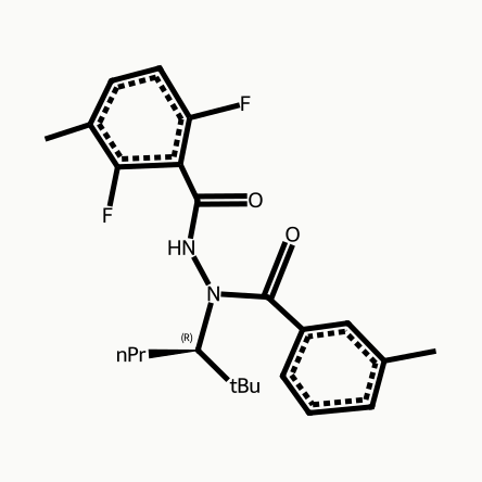 CCC[C@@H](N(NC(=O)c1c(F)ccc(C)c1F)C(=O)c1cccc(C)c1)C(C)(C)C